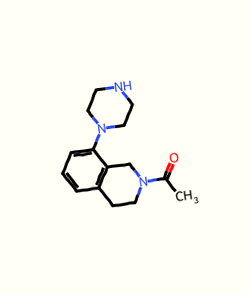 CC(=O)N1CCc2cccc(N3CCNCC3)c2C1